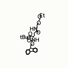 CCOCCOCCNC(=O)CCC(NC(=O)OCC1c2ccccc2-c2ccccc21)C(=O)OC(C)(C)C